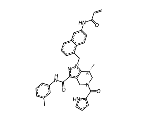 C=CC(=O)Nc1ccc2c(Cn3nc(C(=O)Nc4cccc(C)c4)c4c3[C@H](C)CN(C(=O)c3ccc[nH]3)C4)cccc2c1